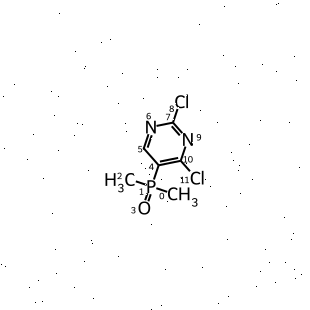 CP(C)(=O)c1cnc(Cl)nc1Cl